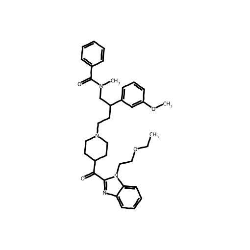 CCOCCn1c(C(=O)C2CCN(CCC(CN(C)C(=O)c3ccccc3)c3cccc(OC)c3)CC2)nc2ccccc21